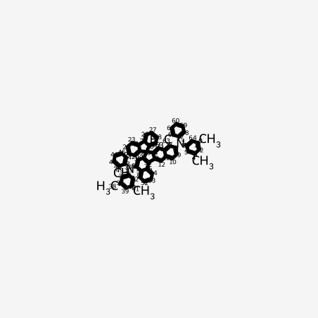 Cc1cc(C)cc(N(c2ccc3cc4c(cc3c2)C2(c3ccccc3-c3ccccc32)c2cc(N(c3cc(C)cc(C)c3)c3ccccc3C)c3ccccc3c2-4)c2ccccc2C)c1